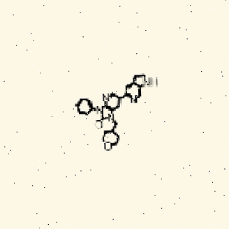 O=c1n(CC2CCOCC2)c2cc(-c3cc4cc[nH]c4cn3)cnc2n1-c1ccccc1